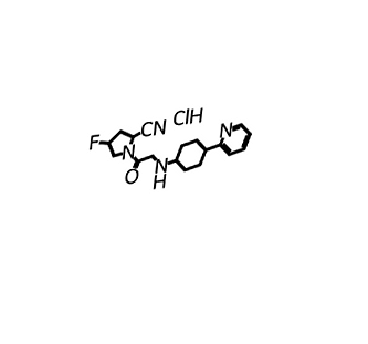 Cl.N#CC1CC(F)CN1C(=O)CNC1CCC(c2ccccn2)CC1